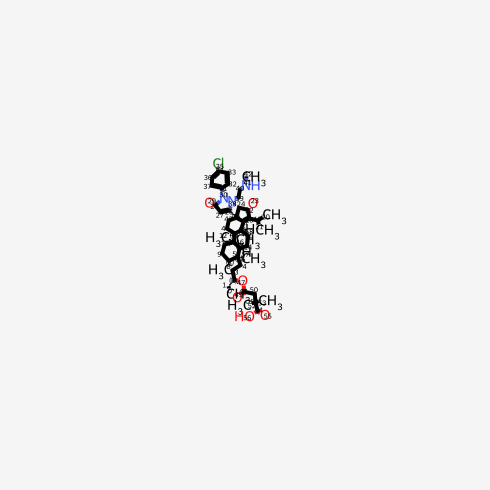 CC[C@H](CC[C@@]1(C)[C@H](C)CC[C@]2(C)[C@@H]1CC[C@@H]1C3=C(C(C)C)C(=O)C[C@]3(c3cc(=O)n(-c4ccc(Cl)cc4)n3CCNC)CC[C@]12C)OC(=O)CC(C)(C)C(=O)O